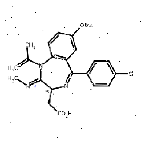 C=C(C)N1/C(=N\C)[C@H](CC(=O)O)N=C(c2ccc(Cl)cc2)c2cc(OC)ccc21